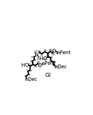 CCCCCCCCCCCCCCC(O)C(CCC[N+](C)(C)CCCC(CCOCCCCC)C(O)CCCCCCCCCCCCCC)CCOCCCCC.[Cl-]